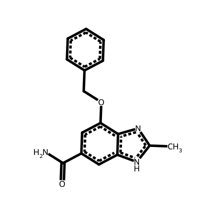 Cc1nc2c(OCc3ccccc3)cc(C(N)=O)cc2[nH]1